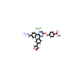 COC(=O)c1ccc(COc2cnc(-c3ccc(CN)cc3)c(-c3ccc(-c4ccoc4)cc3)n2)cc1.Cl